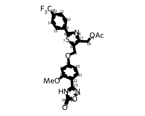 COc1cc(OCc2sc(-c3ccc(C(F)(F)F)cc3)nc2COC(C)=O)ccc1-c1noc(=O)[nH]1